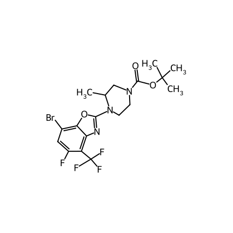 CC1CN(C(=O)OC(C)(C)C)CCN1c1nc2c(C(F)(F)F)c(F)cc(Br)c2o1